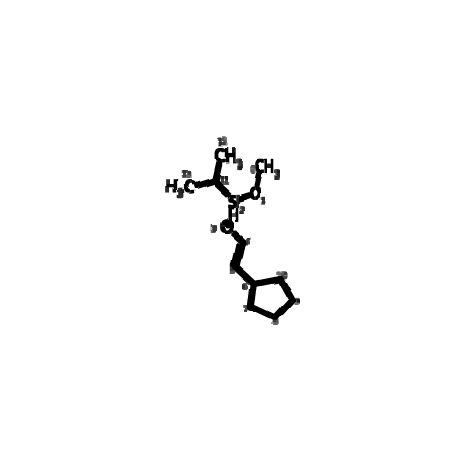 CO[SiH](OC=CC1CCCC1)C(C)C